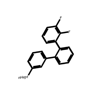 CCCCCCCc1cccc(-c2ccccc2-c2cccc(F)c2F)c1